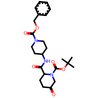 CC(C)(C)OC(=O)N1CC(=O)CCC1C(=O)NC1CCN(C(=O)OCc2ccccc2)CC1